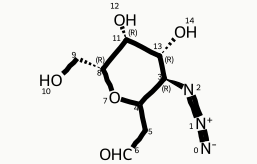 [N-]=[N+]=N[C@H]1C(CC=O)O[C@H](CO)[C@H](O)[C@@H]1O